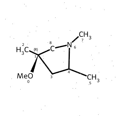 CO[C@]1(C)CC(C)N(C)C1